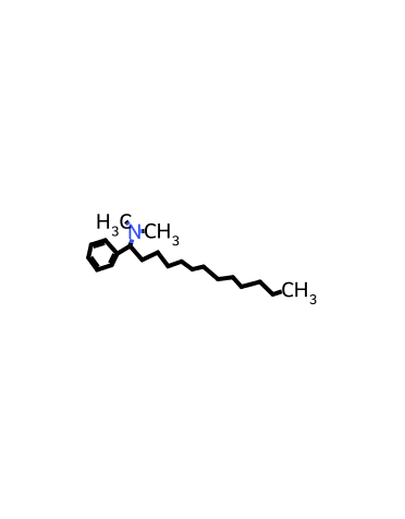 CCCCCCCCCCCCC(c1ccccc1)N(C)C